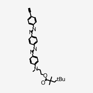 C#Cc1ccc(/N=N/c2ccc(/N=N/c3ccc(N(C)CCOC(=O)C(C)(C)CC(C)(C)C)cc3)cc2)cc1